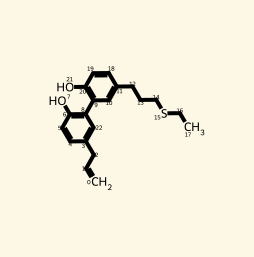 C=CCc1ccc(O)c(-c2cc(CCCSCC)ccc2O)c1